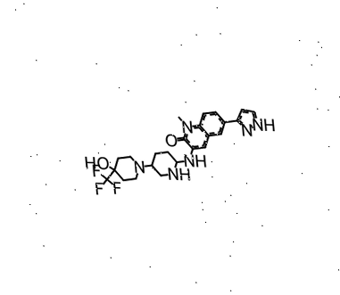 Cn1c(=O)c(NC2CCC(N3CCC(O)(C(F)(F)F)CC3)CN2)cc2cc(-c3cc[nH]n3)ccc21